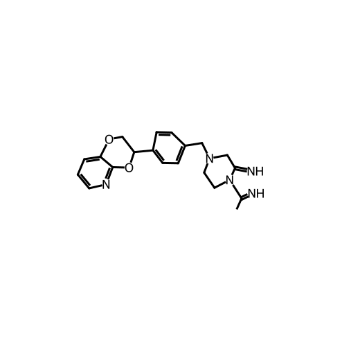 CC(=N)N1CCN(Cc2ccc(C3COc4cccnc4O3)cc2)CC1=N